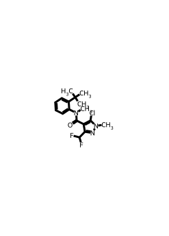 CN(C(=O)c1c(C(F)F)nn(C)c1Cl)c1ccccc1C(C)(C)C